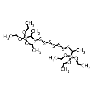 CCO[Si](OCC)(OCC)C(C)SSSSSSSSC(C)[Si](OCC)(OCC)OCC